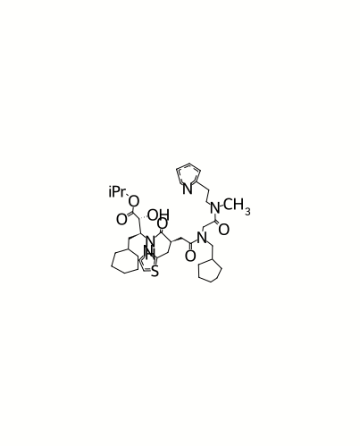 CC(C)OC(=O)[C@H](O)[C@H](CC1CCCCC1)NC(=O)[C@@H](CC(=O)N(CC(=O)N(C)CCc1ccccn1)CC1CCCCC1)Cc1nccs1